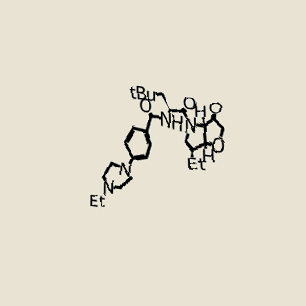 CC[C@H]1CN(C(=O)[C@H](CC(C)(C)C)NC(=O)c2ccc(N3CCN(CC)CC3)cc2)[C@@H]2C(=O)CO[C@H]12